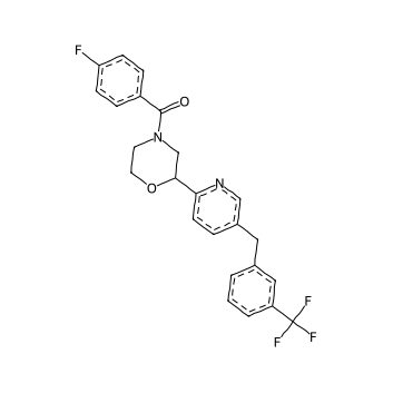 O=C(c1ccc(F)cc1)N1CCOC(c2ccc(Cc3cccc(C(F)(F)F)c3)cn2)C1